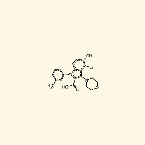 Cc1cccc(-n2c(C(=O)O)c(N3CCOCC3)c3c(Cl)c(C)ccc32)c1